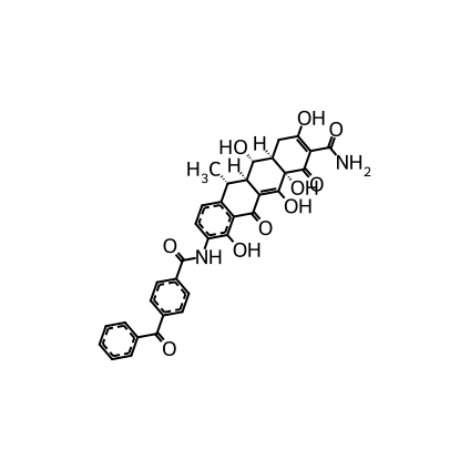 C[C@H]1c2ccc(NC(=O)c3ccc(C(=O)c4ccccc4)cc3)c(O)c2C(=O)C2=C(O)[C@]3(O)C(=O)C(C(N)=O)=C(O)C[C@@H]3[C@@H](O)[C@@H]21